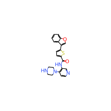 O=C(Nc1cnccc1N1CCNCC1)c1ccc(-c2coc3ccccc23)s1